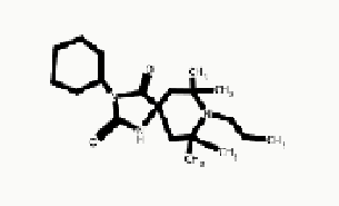 CCCN1C(C)(C)CC2(CC1(C)C)NC(=O)N(C1CCCCC1)C2=O